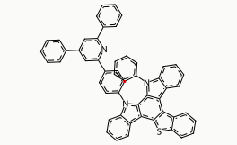 c1ccc(-c2cc(-c3ccccc3)nc(-c3ccc(-n4c5ccccc5c5c6sc7ccccc7c6c6c7ccccc7n(-c7ccccc7)c6c54)cc3)c2)cc1